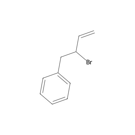 C=CC(Br)Cc1ccccc1